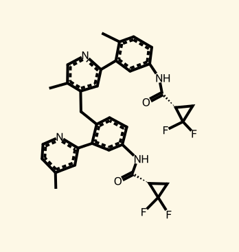 Cc1ccnc(-c2cc(NC(=O)[C@@H]3CC3(F)F)ccc2Cc2cc(-c3cc(NC(=O)[C@@H]4CC4(F)F)ccc3C)ncc2C)c1